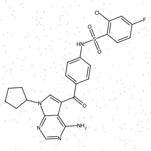 Nc1ncnc2c1c(C(=O)c1ccc(NS(=O)(=O)c3ccc(F)cc3Cl)cc1)cn2C1CCCC1